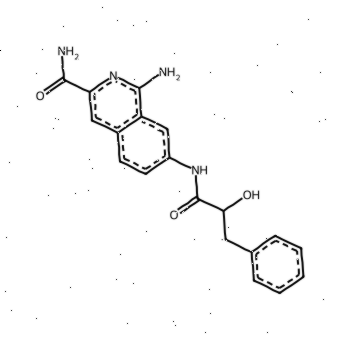 NC(=O)c1cc2ccc(NC(=O)C(O)[CH]c3ccccc3)cc2c(N)n1